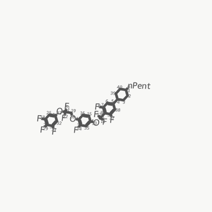 CCCCCC1CCC(c2cc(F)c(C(F)(F)Oc3ccc(OCC(F)(F)Oc4cc(F)c(F)c(F)c4)c(F)c3)c(F)c2)CC1